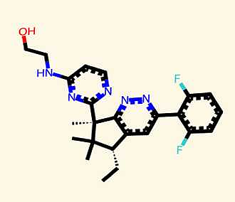 CC[C@H]1c2cc(-c3c(F)cccc3F)nnc2[C@](C)(c2nccc(NCCO)n2)C1(C)C